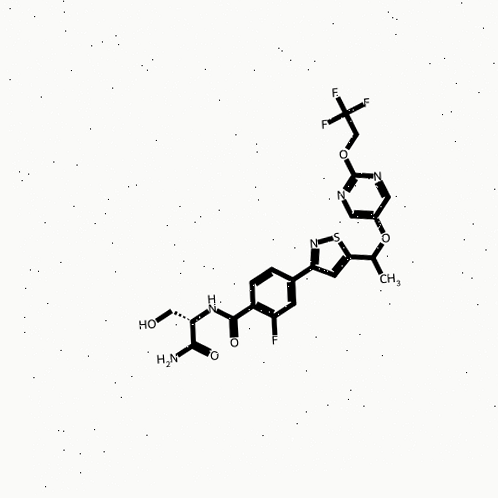 CC(Oc1cnc(OCC(F)(F)F)nc1)c1cc(-c2ccc(C(=O)N[C@@H](CO)C(N)=O)c(F)c2)ns1